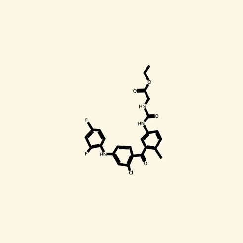 CCOC(=O)CNC(=O)Nc1ccc(C)c(C(=O)c2ccc(Nc3ccc(F)cc3F)cc2Cl)c1